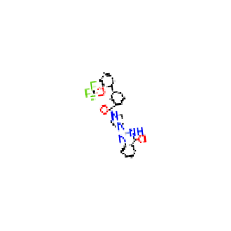 O=C(c1cccc(-c2ccccc2OC(F)(F)F)c1)N1CCN(c2nc3ccccc3c(=O)[nH]2)CC1